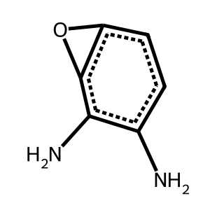 Nc1ccc2c(c1N)O2